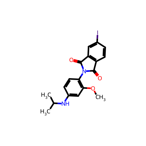 COc1cc(NC(C)C)ccc1N1C(=O)c2ccc(I)cc2C1=O